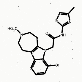 Cc1csc(NC(=O)Cn2c3c(c4cccc(Br)c42)CCN(C(=O)O)CC3)n1